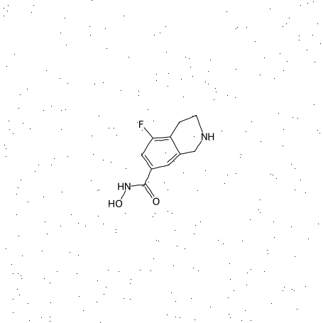 O=C(NO)c1cc(F)c2c(c1)CNCC2